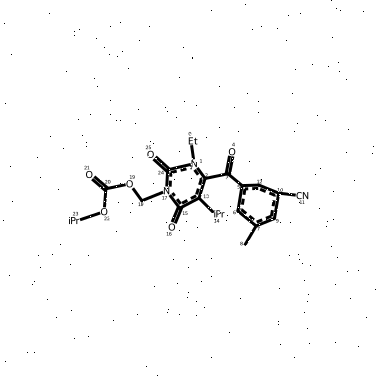 CCn1c(C(=O)c2cc(C)cc(C#N)c2)c(C(C)C)c(=O)n(COC(=O)OC(C)C)c1=O